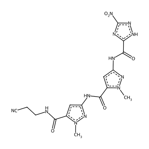 Cn1nc(NC(=O)c2cc(NC(=O)c3nc([N+](=O)[O-])n[nH]3)nn2C)cc1C(=O)NCCC#N